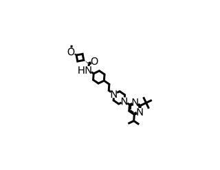 CO[C@H]1C[C@H](C(=O)NC2CCC(CCN3CCN(c4cc(C(C)C)nc(C(C)(C)C)n4)CC3)CC2)C1